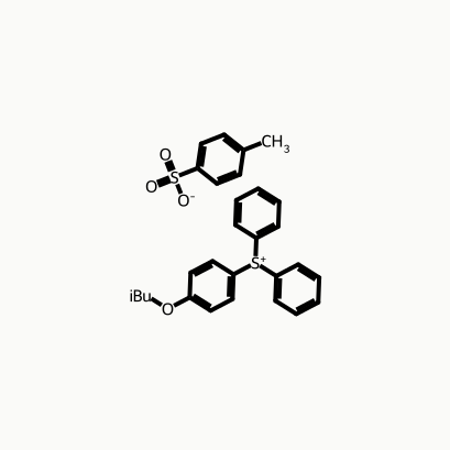 CCC(C)Oc1ccc([S+](c2ccccc2)c2ccccc2)cc1.Cc1ccc(S(=O)(=O)[O-])cc1